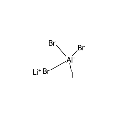 [Br][Al-]([Br])([Br])[I].[Li+]